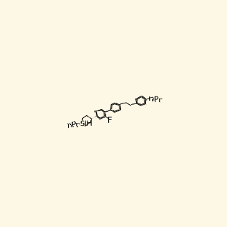 CCCc1ccc(CCc2ccc(-c3ccc([C@H]4CC[Si@H](CCC)CC4)cc3F)cc2)cc1